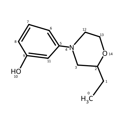 CCC1CN(c2cccc(O)c2)CCO1